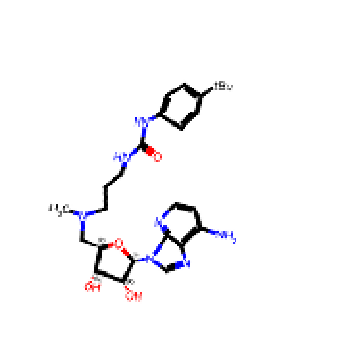 CN(CCCNC(=O)Nc1ccc(C(C)(C)C)cc1)C[C@H]1O[C@@H](n2cnc3c(N)ccnc32)[C@H](O)[C@@H]1O